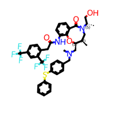 C[C@@H]1CN([C@@H](C)CO)C(=O)c2cccc(NC(=O)Cc3ccc(C(F)(F)F)cc3C(F)(F)F)c2O[C@@H]1CN(C)Cc1ccc(Sc2ccccc2)cc1